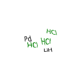 Cl.Cl.Cl.[LiH].[Pd]